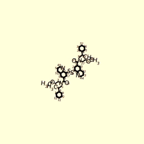 COCCN(CC(C)c1ccccc1)C(=O)c1cc(SSc2cc(C(=O)N(CCOC)CC(C)c3ccccc3)cc3cccnc23)c2ncccc2c1